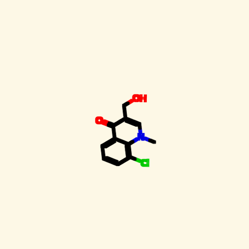 Cn1cc(CO)c(=O)c2cccc(Cl)c21